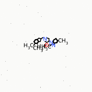 CO[C@H]1CN(CC2Cc3ccc(C(C)C)cc3C2)CC[C@H]1n1c(C)nc2cc(C)ccc21